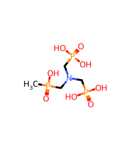 CP(=O)(O)CN(CP(=O)(O)O)CP(=O)(O)O